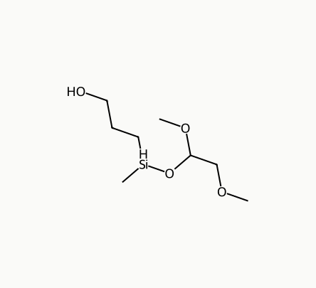 COCC(OC)O[SiH](C)CCCO